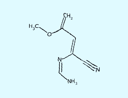 C=C(/C=C(C#N)\N=C/N)OC